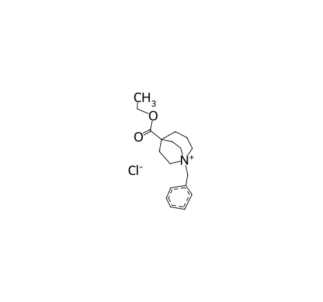 CCOC(=O)C12CCC[N+](Cc3ccccc3)(CC1)CC2.[Cl-]